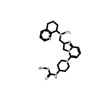 CN(CC1CN2C(N3CCC(NC(=O)OC(C)(C)C)CC3)=CC=CC2=N1)C1CCCc2cccnc21